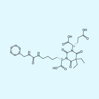 CCC1(CC)C(=O)N([C@@H](CCCCNC(=O)NCc2ccccc2)C(=O)O)C(=O)N([C@@H](CCC(=O)O)C(=O)O)C1=O